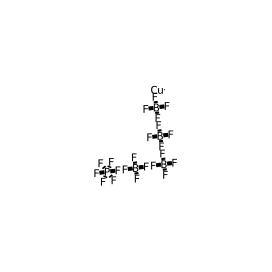 F[B-](F)(F)F.F[B-](F)(F)F.F[B-](F)(F)F.F[B-](F)(F)F.F[P-](F)(F)(F)(F)F.[Cu]